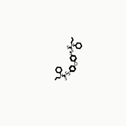 CCCN(C(=S)SSc1ccc(Oc2ccc(SSC(=S)N(CCC)C3CCCCC3)cc2)cc1)C1CCCCC1